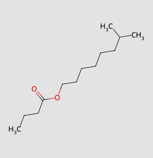 CCCC(=O)OCCCCCCC(C)C